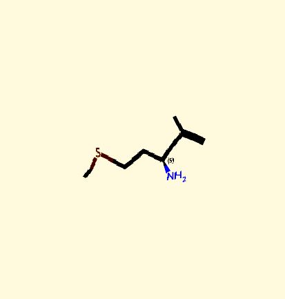 C=C(C)[C@@H](N)CCSC